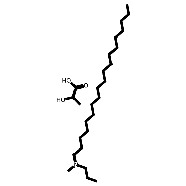 CC(O)C(=O)O.CCCCCCCCCCCCCCCCCCCN(C)CCC